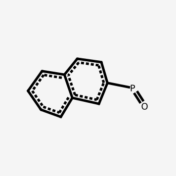 O=Pc1ccc2ccccc2c1